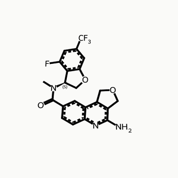 CN(C(=O)c1ccc2nc(N)c3c(c2c1)COC3)[C@@H]1COc2cc(C(F)(F)F)cc(F)c21